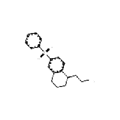 NCCC1CCCc2cc(S(=O)(=O)c3ccccc3)ccc21